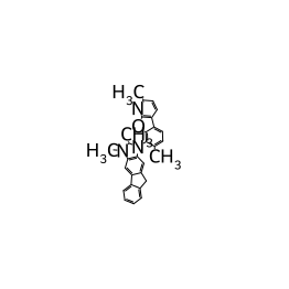 Cc1ccc2c(n1)oc1c(N3c4cc5c(cc4N(C)[C@@H]3C)-c3ccccc3C5)c(C)ccc12